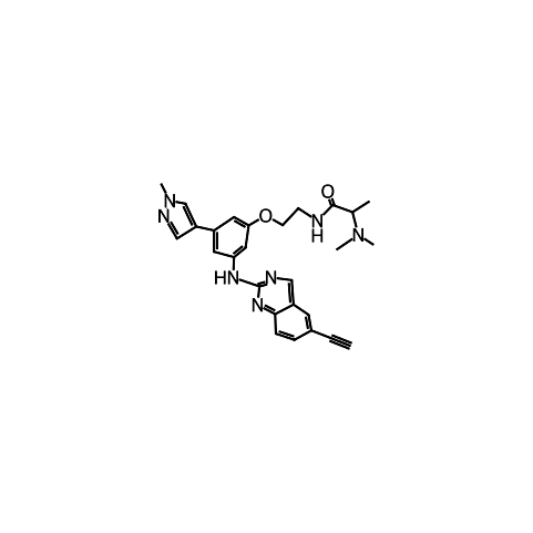 C#Cc1ccc2nc(Nc3cc(OCCNC(=O)C(C)N(C)C)cc(-c4cnn(C)c4)c3)ncc2c1